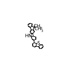 CC1(C)c2ccccc2-c2cc3c(cc21)C1C=CC(C2C=CC=C4c5ccccc5SC42)=CC1N3